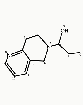 CCC(O)N1CCc2ncccc2C1